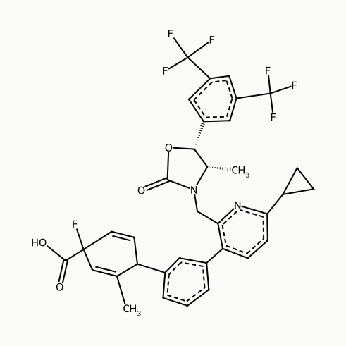 CC1=CC(F)(C(=O)O)C=CC1c1cccc(-c2ccc(C3CC3)nc2CN2C(=O)O[C@H](c3cc(C(F)(F)F)cc(C(F)(F)F)c3)[C@@H]2C)c1